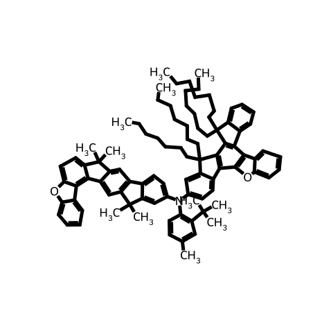 CCCCCCCC1(CCCCCCC)c2cc(N(c3ccc4c(c3)C(C)(C)c3cc5c(cc3-4)C(C)(C)c3ccc4oc6ccccc6c4c3-5)c3ccc(C)cc3C(C)(C)C)ccc2-c2c1c1c(c3c2oc2ccccc23)-c2ccccc2C1(CCCCCCC)CCCCCCC